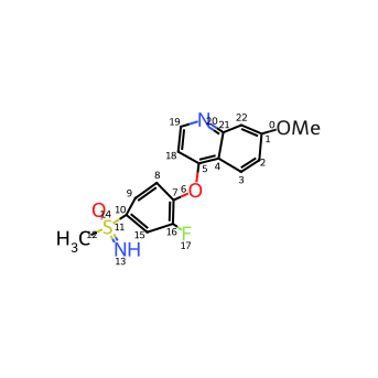 COc1ccc2c(Oc3ccc(S(C)(=N)=O)cc3F)ccnc2c1